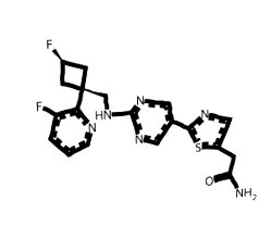 NC(=O)Cc1cnc(-c2cnc(NC[C@]3(c4ncccc4F)C[C@H](F)C3)nc2)s1